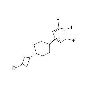 CCC1CC([C@H]2CC[C@H](c3cc(F)c(F)c(F)c3)CC2)C1